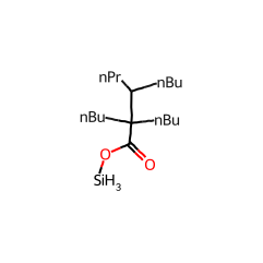 CCCCC(CCC)C(CCCC)(CCCC)C(=O)O[SiH3]